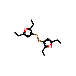 CCc1cc(SSc2cc(CC)oc2CC)c(CC)o1